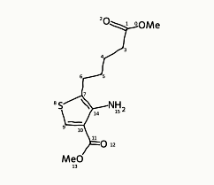 COC(=O)CCCCc1scc(C(=O)OC)c1N